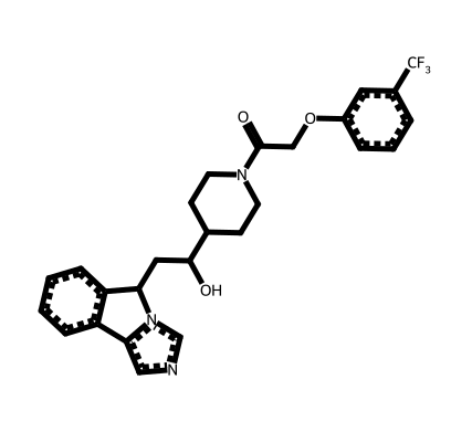 O=C(COc1cccc(C(F)(F)F)c1)N1CCC(C(O)CC2c3ccccc3-c3cncn32)CC1